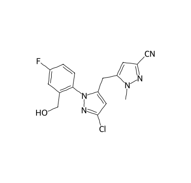 Cn1nc(C#N)cc1Cc1cc(Cl)nn1-c1ccc(F)cc1CO